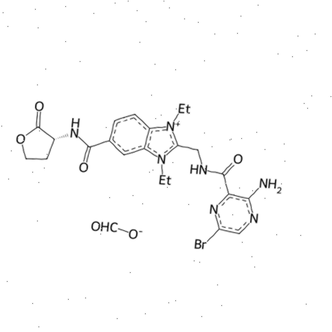 CCn1c(CNC(=O)c2nc(Br)cnc2N)[n+](CC)c2ccc(C(=O)N[C@@H]3CCOC3=O)cc21.O=C[O-]